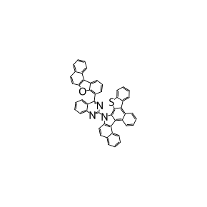 c1ccc2c(c1)ccc1oc3c(-c4nc(-n5c6ccc7ccccc7c6c6c7ccccc7c7c8ccccc8sc7c65)nc5ccccc45)cccc3c12